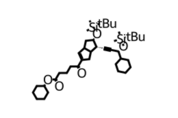 CC(C)(C)[Si](C)(C)OC(C#C[C@@H]1C2CC(C(=O)CCCC(=O)OC3CCCCC3)=CC2C[C@H]1O[Si](C)(C)C(C)(C)C)C1CCCCC1